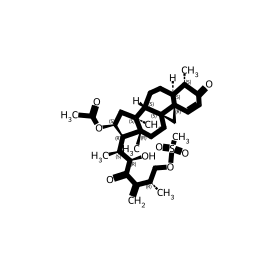 C=C(C(=O)[C@H](O)[C@@H](C)[C@H]1[C@@H](OC(C)=O)C[C@@]2(C)[C@@H]3CC[C@H]4[C@H](C)C(=O)C=C[C@@]45C[C@@]35CC[C@]12C)[C@@H](C)COS(C)(=O)=O